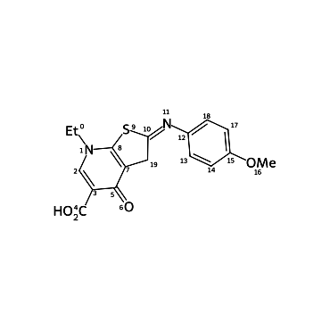 CCn1cc(C(=O)O)c(=O)c2c1SC(=Nc1ccc(OC)cc1)C2